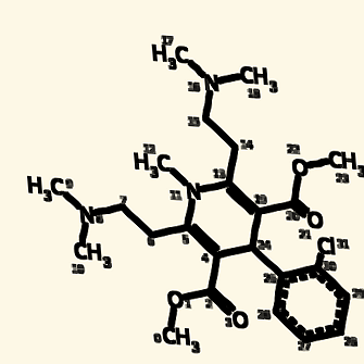 COC(=O)C1=C(CCN(C)C)N(C)C(CCN(C)C)=C(C(=O)OC)C1c1ccccc1Cl